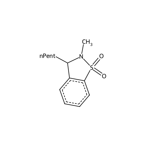 CCCCCC1c2ccccc2S(=O)(=O)N1C